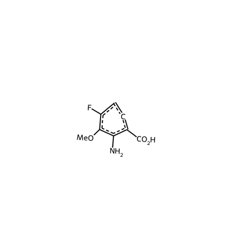 COc1c(F)ccc(C(=O)O)c1N